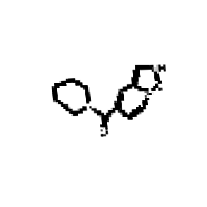 O=C(C1=CC2=CNON2C=C1)N1CCCCC1